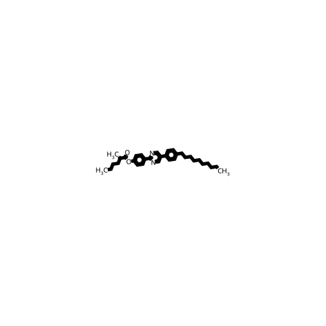 CCCCCCCCCCc1ccc(-c2cnc(-c3ccc(OC(=O)C(C)CCCC)cc3)nc2)cc1